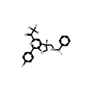 C[C@H](NC[C@]1(C)COc2c1cc(C(=O)C(F)(F)F)nc2-c1ccc(F)cc1)c1ccccc1